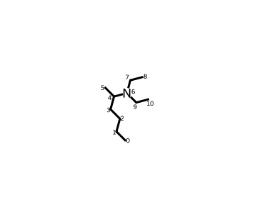 CCCCC(C)N(CC)CC